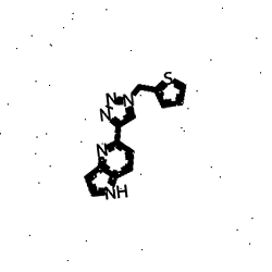 c1csc(Cn2cc(-c3ccc4[nH]ccc4n3)nn2)c1